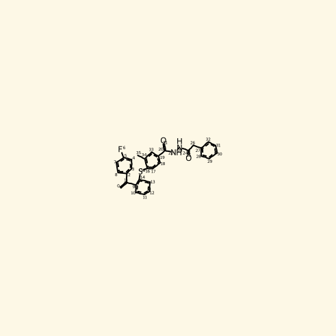 C=C(c1ccc(F)cc1)c1ccccc1Sc1ccc(C(=O)NNC(=O)Cc2ccccc2)cc1C